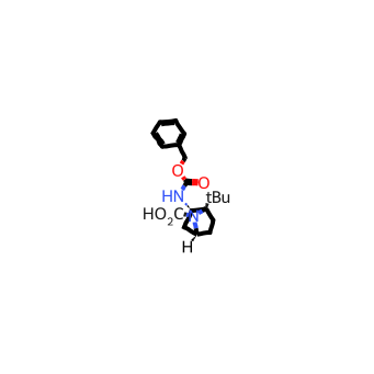 CC(C)(C)[C@]12CC[C@@H](C[C@@H]1NC(=O)OCc1ccccc1)N2C(=O)O